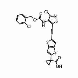 O=C(Nc1c(Cl)nsc1C#Cc1cc2sc(C3(C(=O)O)CC3)cc2s1)OCc1ccccc1Cl